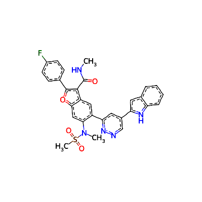 CNC(=O)c1c(-c2ccc(F)cc2)oc2cc(N(C)S(C)(=O)=O)c(-c3cc(-c4cc5ccccc5[nH]4)cnn3)cc12